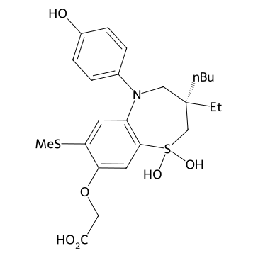 CCCC[C@@]1(CC)CN(c2ccc(O)cc2)c2cc(SC)c(OCC(=O)O)cc2S(O)(O)C1